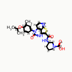 Cc1cc(N2C(=O)Nc3c(C(=O)NC4CCCN(C(=O)O)C4)sc4nccc2c34)ccc1OC(C)C